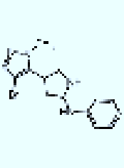 Cn1ncc(Br)c1C1CNC(Nc2ccccc2)C1